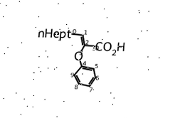 CCCCCCC/C=C(\Oc1ccccc1)C(=O)O